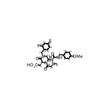 COc1ccc(CNC(=O)N2[C@H]3CN(Cc4ccc(F)cc4F)C(=O)[C@H](CC(=O)O)N3C(=O)CN2C)cc1